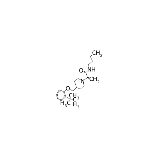 C=C(C(=O)NCCCC)N1CCC(COc2ccccc2C(C)(C)C)CC1